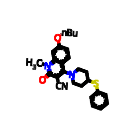 CCCCOc1ccc2c(N3CCC(Sc4ccccc4)CC3)c(C#N)c(=O)n(C)c2c1